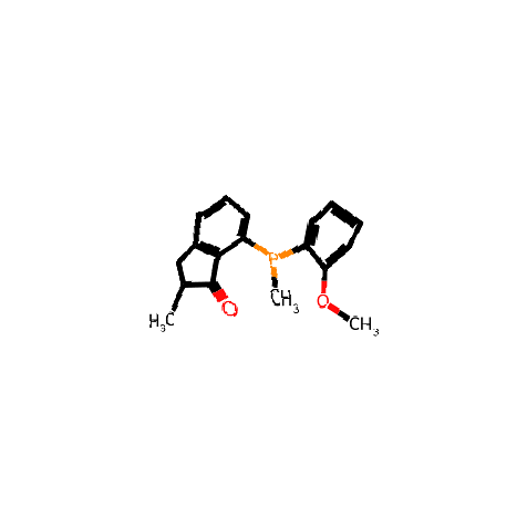 COc1ccccc1P(C)c1cccc2c1C(=O)C(C)C2